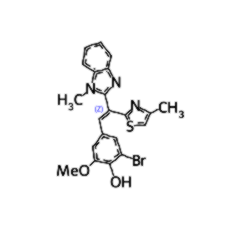 COc1cc(/C=C(\c2nc(C)cs2)c2nc3ccccc3n2C)cc(Br)c1O